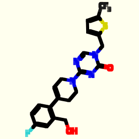 O=c1nc(N2CC=C(c3ccc(F)cc3CO)CC2)ncn1Cc1ccc(C(F)(F)F)s1